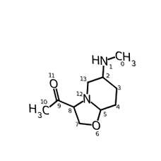 CNC1CCC2OCC(C(C)=O)N2C1